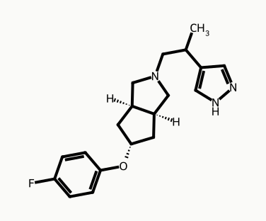 CC(CN1C[C@H]2C[C@H](Oc3ccc(F)cc3)C[C@H]2C1)c1cn[nH]c1